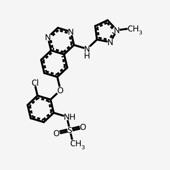 Cn1ccc(Nc2ncnc3ccc(Oc4c(Cl)cccc4NS(C)(=O)=O)cc23)n1